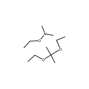 CCOC(C)(C)OCC.CCON(C)C